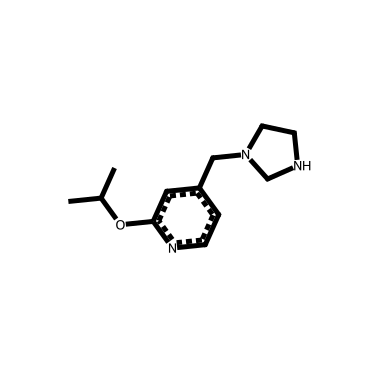 CC(C)Oc1cc(CN2CCNC2)ccn1